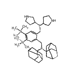 C[Si](C)(C)c1cc(CP(C2CCNC2)C2CCNC2)c(CP(C23CC4CC(CC(C4)C2)C3)C23CC4CC(CC(C4)C2)C3)cc1[Si](C)(C)C